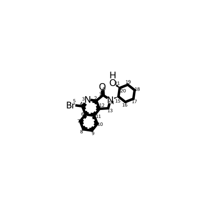 O=C1c2nc(Br)c3ccccc3c2CN1[C@H]1CCCC[C@@H]1O